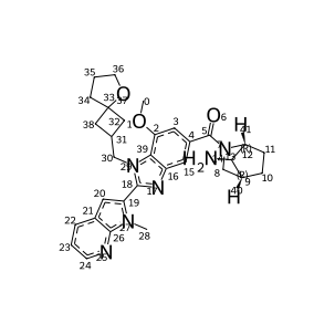 COc1cc(C(=O)N2C[C@H]3CC[C@@H]2C3N)cc2nc(-c3cc4cccnc4n3C)n(CC3CC4(CCCO4)C3)c12